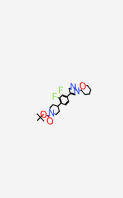 CC(C)(C)OC(=O)N1CCC(c2ccc(-c3cnn(C4CCCCO4)c3)c(F)c2F)CC1